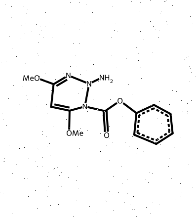 COC1=CC(OC)=NN(N)N1C(=O)Oc1ccccc1